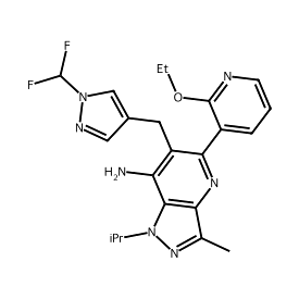 CCOc1ncccc1-c1nc2c(C)nn(C(C)C)c2c(N)c1Cc1cnn(C(F)F)c1